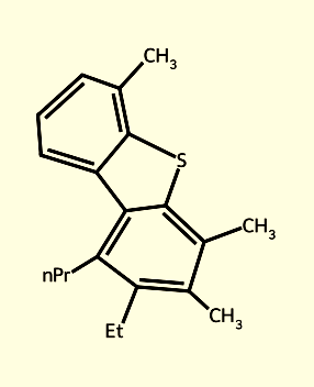 CCCc1c(CC)c(C)c(C)c2sc3c(C)cccc3c12